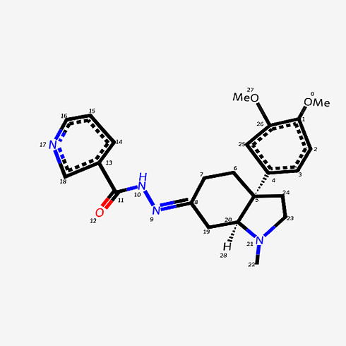 COc1ccc([C@@]23CC/C(=N\NC(=O)c4cccnc4)C[C@@H]2N(C)CC3)cc1OC